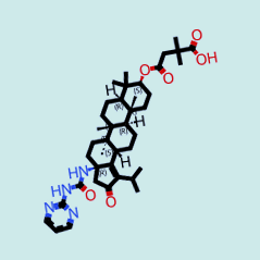 CC(C)C1=C2[C@H]3CC[C@@H]4[C@@]5(C)CC[C@H](OC(=O)CC(C)(C)C(=O)O)C(C)(C)[C@@H]5CC[C@@]4(C)[C@]3(C)CC[C@@]2(NC(=O)Nc2ncccn2)CC1=O